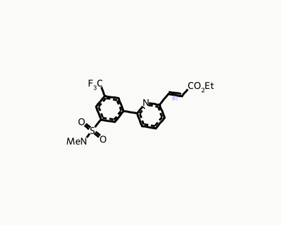 CCOC(=O)/C=C/c1cccc(-c2cc(C(F)(F)F)cc(S(=O)(=O)NC)c2)n1